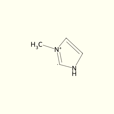 C[n+]1[c][nH]cc1